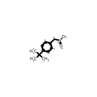 CC(C)(C)c1ccc([CH][N+](=O)[O-])cc1